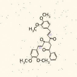 COc1ccc(/C=C/C(=O)C(CC(=O)c2ccccc2)C(=O)/C=C/c2ccc(OC)c(OC)c2)cc1OC